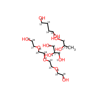 CC(O)CO.OCC(O)CO.OCCCCO.OCCOCCOCCOCCO